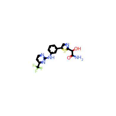 NC(=O)C(O)c1ncc(-c2cccc(Nc3nccc(C(F)(F)F)n3)c2)s1